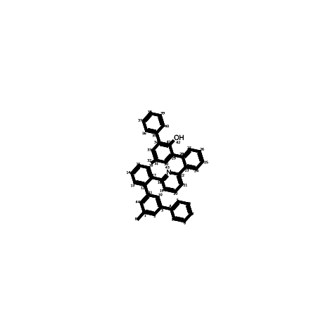 Cc1cc(-c2ccccc2)cc(-c2ccccc2-c2cccc(-c3ccccc3-c3cc(C)cc(-c4ccccc4)c3O)n2)c1